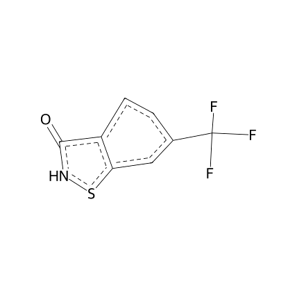 O=c1[nH]sc2cc(C(F)(F)F)ccc12